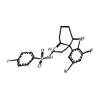 C=C1CCCC2Nc3c(F)cc(Br)cc3C12CCNS(=O)(=O)c1ccc(F)cc1